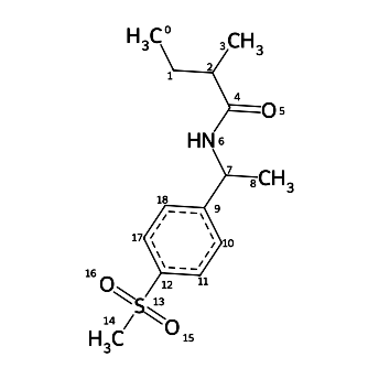 CCC(C)C(=O)NC(C)c1ccc(S(C)(=O)=O)cc1